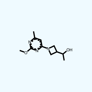 COc1nc(C)cc(N2CC(C(C)O)C2)n1